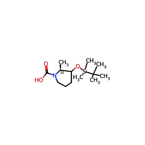 C[C@H]1C(O[Si](C)(C)C(C)(C)C)CCCN1C(=O)O